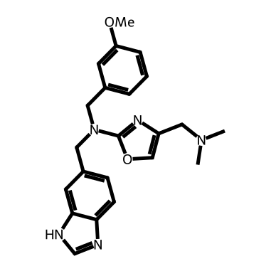 COc1cccc(CN(Cc2ccc3nc[nH]c3c2)c2nc(CN(C)C)co2)c1